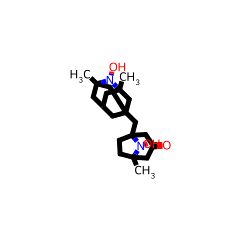 CC12CC3CC(CC45CCC(C)(CC(=O)C4)N5O)(C1)CC(C)(C3)N2O